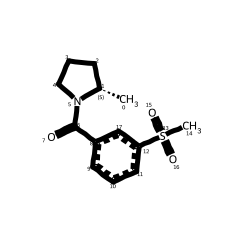 C[C@H]1CCCN1C(=O)c1cccc(S(C)(=O)=O)c1